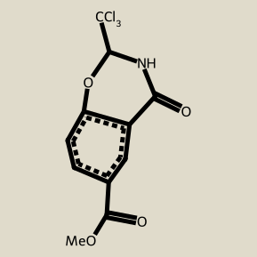 COC(=O)c1ccc2c(c1)C(=O)NC(C(Cl)(Cl)Cl)O2